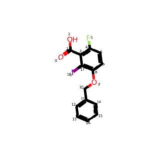 O=C(O)c1c(F)ccc(OCc2ccccc2)c1I